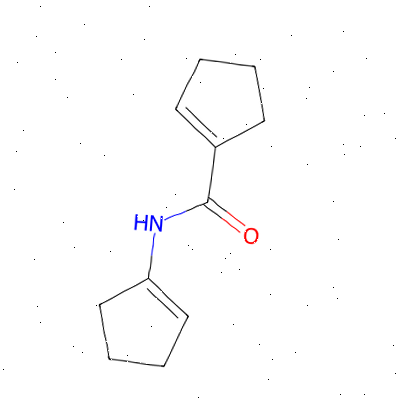 O=C(NC1=CCCC1)C1=CCCC1